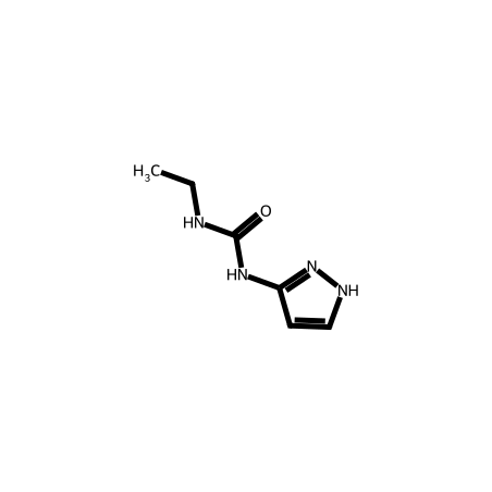 CCNC(=O)Nc1cc[nH]n1